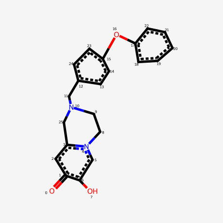 O=c1cc2n(cc1O)CCN(Cc1ccc(Oc3ccccc3)cc1)C2